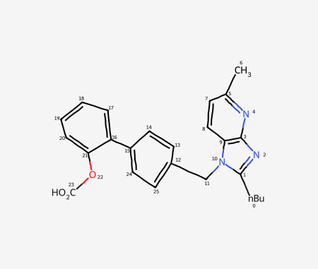 CCCCc1nc2nc(C)ccc2n1Cc1ccc(-c2ccccc2OC(=O)O)cc1